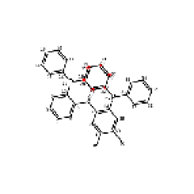 Cc1cc(Cc2ccccc2P(c2ccccc2)c2ccccc2)c(P(c2ccccc2)c2ccccc2)cc1C